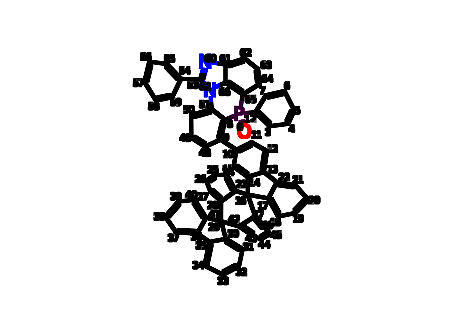 O=P1(c2ccccc2)c2c(-c3ccc4c(c3)C3(c5ccccc5-4)c4ccccc4C4(c5ccccc5-c5ccccc54)c4ccccc43)cccc2-n2c(-c3ccccc3)nc3cccc1c32